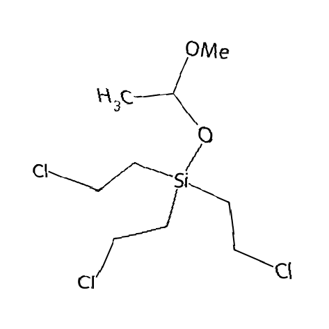 COC(C)O[Si](CCCl)(CCCl)CCCl